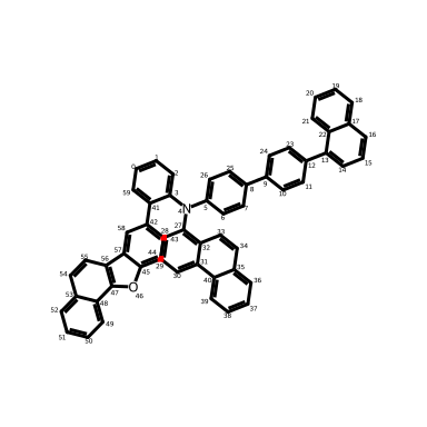 c1ccc(N(c2ccc(-c3ccc(-c4cccc5ccccc45)cc3)cc2)c2cccc3c2ccc2ccccc23)c(-c2ccc3oc4c5ccccc5ccc4c3c2)c1